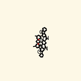 Cc1ccc2c(c1)c1c3oc4ccccc4c3ccc1n2-c1c(C#N)cc(C#N)c(-n2c3ccc(C)cc3c3c4oc5ccccc5c4ccc32)c1-c1ccccc1